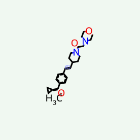 COC(=C1CC1)c1ccc(/C=C/C2CCN(C(=O)CN3CCOCC3)CC2)cc1